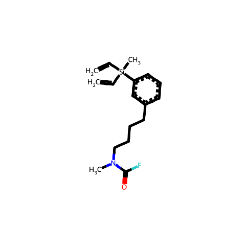 C=C[Si](C)(C=C)c1cccc(CCCCN(C)C(=O)F)c1